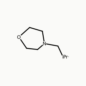 C[C](C)CN1CCOCC1